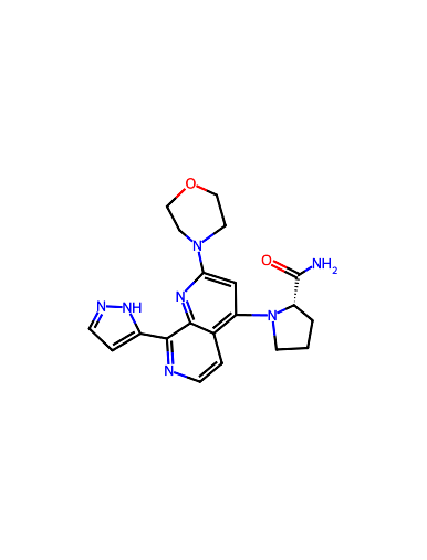 NC(=O)[C@@H]1CCCN1c1cc(N2CCOCC2)nc2c(-c3ccn[nH]3)nccc12